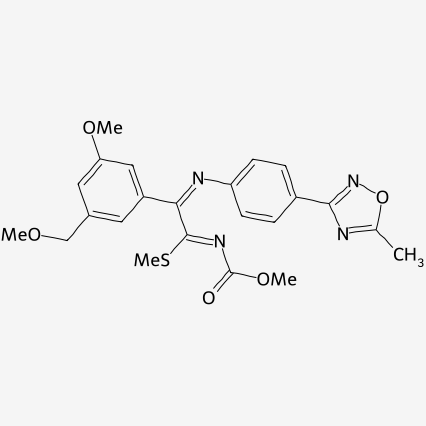 COCc1cc(OC)cc(C(=N/c2ccc(-c3noc(C)n3)cc2)/C(=N/C(=O)OC)SC)c1